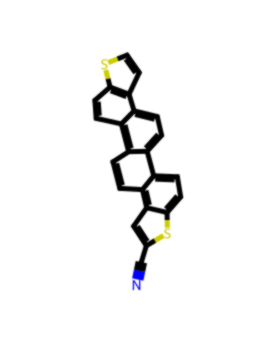 N#Cc1cc2c(ccc3c2ccc2c4ccc5sccc5c4ccc32)s1